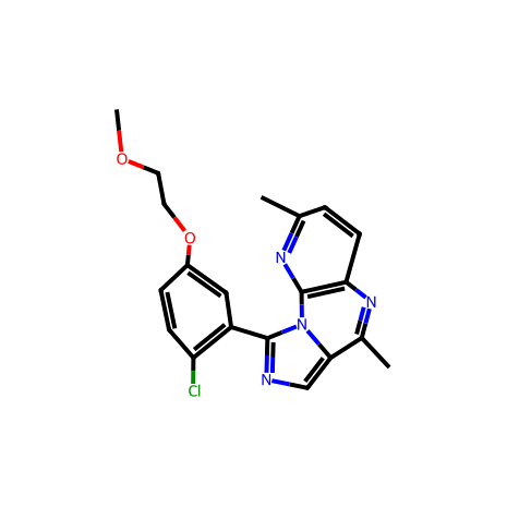 COCCOc1ccc(Cl)c(-c2ncc3c(C)nc4ccc(C)nc4n23)c1